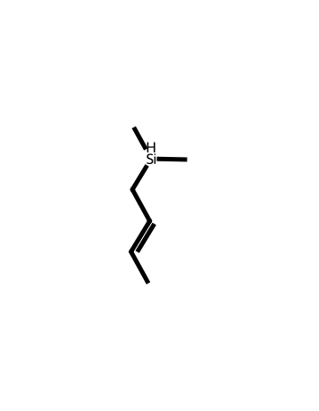 C/C=C/C[SiH](C)C